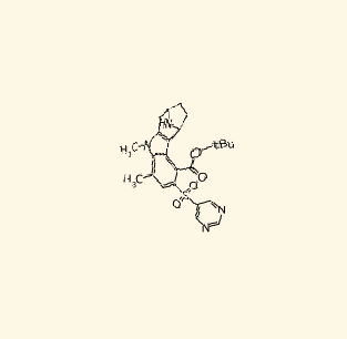 Cc1cc(S(=O)(=O)c2cncnc2)c(C(=O)OC(C)(C)C)c2c3c(n(C)c12)CC1CCC3N1